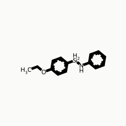 CCOc1ccc([SiH2]Nc2ccccc2)cc1